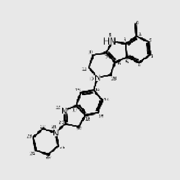 Cc1cccc2c3c([nH]c12)CCN(c1ccc2c(c1)N=C(N1CCCCC1)C2)C3